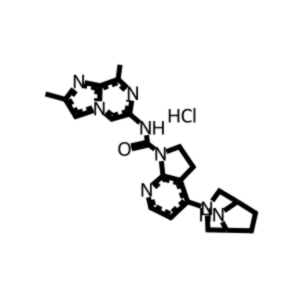 Cc1cn2cc(NC(=O)N3CCc4c(N5CC6CCC(C5)N6)ccnc43)nc(C)c2n1.Cl